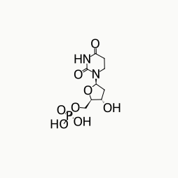 O=C1CCN([C@H]2C[C@H](O)[C@@H](COP(=O)(O)O)O2)C(=O)N1